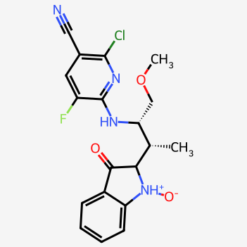 COC[C@@H](Nc1nc(Cl)c(C#N)cc1F)[C@H](C)C1C(=O)c2ccccc2[NH+]1[O-]